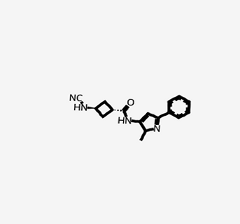 CC1N=C(c2ccccc2)C=C1NC(=O)[C@H]1C[C@H](NC#N)C1